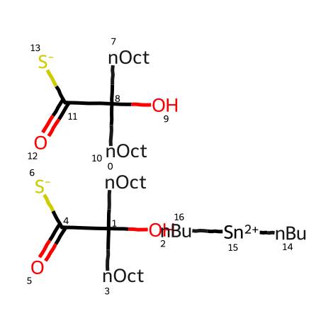 CCCCCCCCC(O)(CCCCCCCC)C(=O)[S-].CCCCCCCCC(O)(CCCCCCCC)C(=O)[S-].CCC[CH2][Sn+2][CH2]CCC